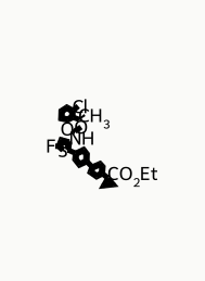 CCOC(=O)C1(c2ccc(-c3ccc(-c4sc(F)cc4NC(=O)O[C@H](C)c4ccccc4Cl)cc3)cc2)CC1